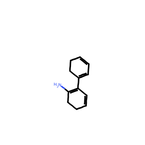 NC1=C(C2=CC=CCC2)C=CCC1